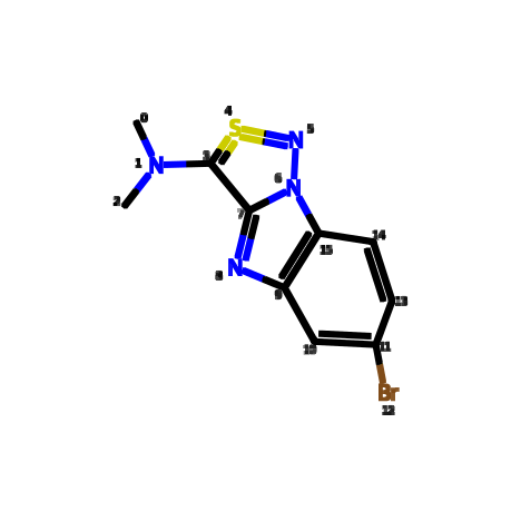 CN(C)C1=S=Nn2c1nc1cc(Br)ccc12